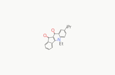 CCn1c2c(c(=O)c3cc(C(C)C)ccc31)C(=O)c1ccccc1-2